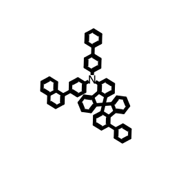 c1ccc(-c2ccc(N(c3ccc(-c4cccc5ccccc45)cc3)c3cccc4c3-c3ccccc3C43c4ccccc4-c4c(-c5ccccc5)cccc43)cc2)cc1